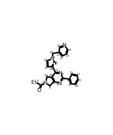 CCC(=O)N1Cc2nc(-c3ccccc3)nc(-c3ccn(Cc4cccnc4)n3)c2C1